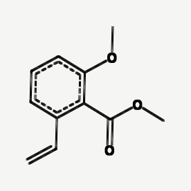 C=Cc1cccc(OC)c1C(=O)OC